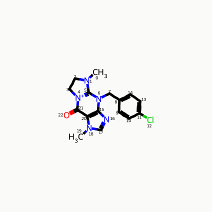 CN1CC[n+]2c1n(Cc1ccc(Cl)cc1)c1ncn(C)c1c2=O